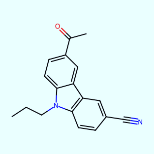 CCCn1c2ccc(C#N)cc2c2cc(C(C)=O)ccc21